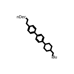 CCCCCCCCCCCCc1ccc(-c2ccc(C3CCC(CC(C)CC)CC3)cc2)cc1